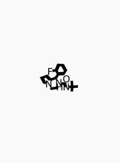 CC(C)(C)NC(=O)N1CCn2cccc2C1c1ccccc1F